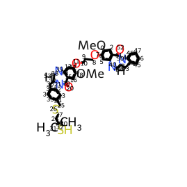 COc1cc2c(cc1OCCCOc1cc3c(cc1OC)C(=O)N1c4cc(CSCCC(C)(C)S)ccc4C[C@H]1C=N3)N=C[C@@H]1Cc3ccccc3N1C2=O